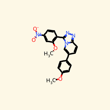 COc1ccc(-c2ccc3nnc(-c4ccc([N+](=O)[O-])cc4OC)n3c2)cc1